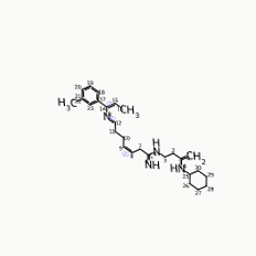 C=C(CCNC(=N)C/C=C\CC/C=N/C(=C\C)c1cccc(C)c1)NC1CCCCC1